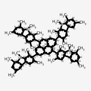 CB1c2c(C)cc(C)cc2-c2cc(C)c(-c3cc4cc(-c5c(C)cc6c(c5C)B(C)c5c(C)cc(C)cc5-6)c5cc(-c6c(C)cc7c(c6C)B(C)c6c(C)cc(C)cc6-7)cc6cc(-c7c(C)cc8c(c7C)B(C)c7c(C)cc(C)cc7-8)c(c3)c4c65)c(C)c21